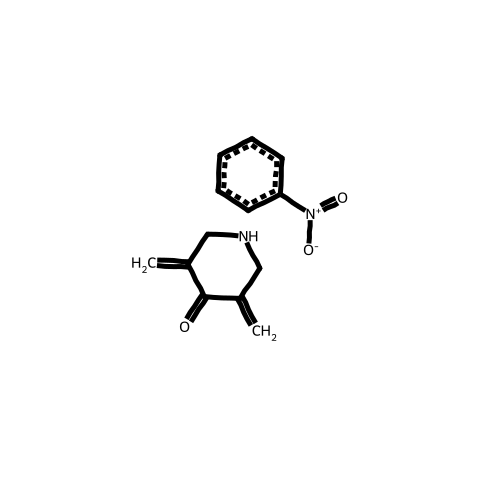 C=C1CNCC(=C)C1=O.O=[N+]([O-])c1ccccc1